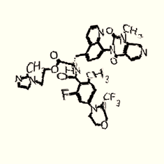 Cc1cc(N2CCOC[C@@H]2C(F)(F)F)cc(F)c1C(=O)N[C@@H](Cc1ccc(-n2c(=O)c3ccncc3n(C)c2=O)c2ncccc12)C(=O)OCCn1ccnc1C